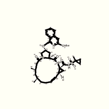 COc1cc2ccccc2c(O[C@@H]2C[C@H]3C(=O)N[C@]4(C(=O)NS(=O)(=O)C5(C)CC5)C[C@H]4/C=C\CC[C@@H](C)C[C@@H](C)CC(=O)N3C2)n1